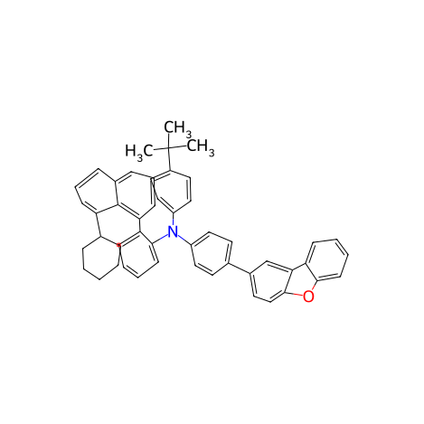 CC(C)(C)c1ccc(N(c2ccc(-c3ccc4oc5ccccc5c4c3)cc2)c2ccccc2-c2cccc3cccc(C4CCCCC4)c23)cc1